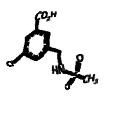 CS(=O)(=O)NCc1cc(Cl)cc(C(=O)O)c1